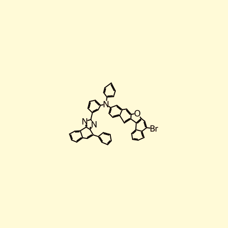 Brc1cc2oc3cc4cc(N(c5ccccc5)c5cccc(C6N=c7c(-c8ccccc8)cc8ccccc8c7=N6)c5)ccc4cc3c2c2ccccc12